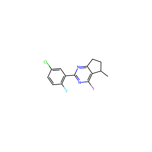 CC1CCc2nc(-c3cc(Cl)ccc3F)nc(I)c21